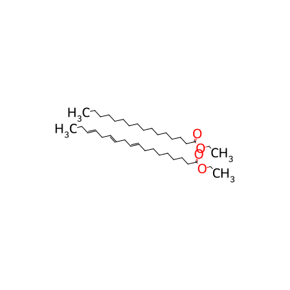 CCC=CCC=CCC=CCCCCCCCC(=O)OCC.CCCCCCCCCCCCCCCC(=O)OCC